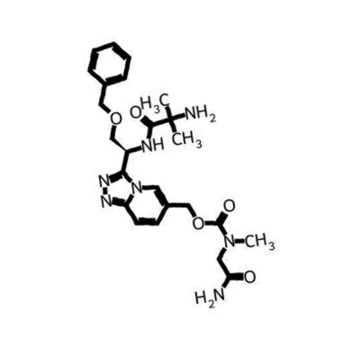 CN(CC(N)=O)C(=O)OCc1ccc2nnc([C@@H](COCc3ccccc3)NC(=O)C(C)(C)N)n2c1